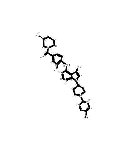 CCc1cnc(N2CCC(n3cc(F)c4c(Nc5ccc(C(=O)N6CCC[C@@H](O)C6)cc5F)ncnc43)CC2)nc1